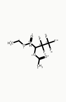 CCO[PH](=O)C(OC(C)=O)C(F)(F)C(F)(F)F